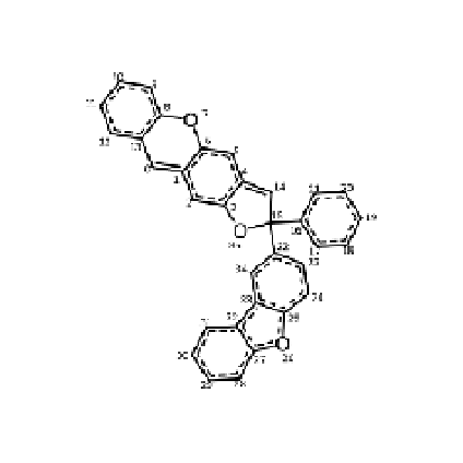 C1=c2cc3c(cc2Oc2ccccc21)=CC(c1ccccc1)(c1ccc2oc4ccccc4c2c1)O3